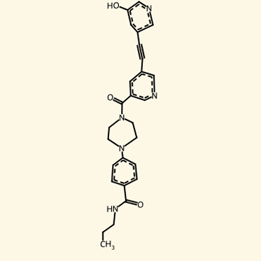 CCCNC(=O)c1ccc(N2CCN(C(=O)c3cncc(C#Cc4cncc(O)c4)c3)CC2)cc1